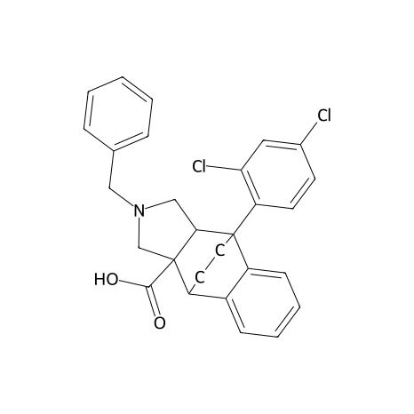 O=C(O)C12CN(Cc3ccccc3)CC1C1(c3ccc(Cl)cc3Cl)CCC2c2ccccc21